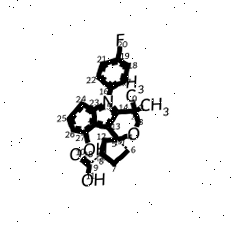 CC1(C)CO[C@]2(CC[C@H](C(=O)O)C2)c2c1n(-c1ccc(F)cc1)c1cccc(O)c21